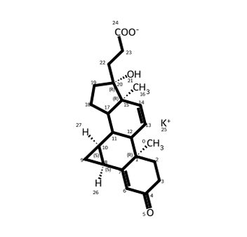 C[C@]12CCC(=O)C=C1[C@H]1C[C@H]1C1C2C=C[C@@]2(C)C1CC[C@@]2(O)CCC(=O)[O-].[K+]